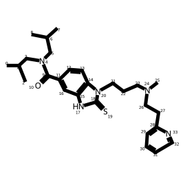 CC(C)CN(CC(C)C)C(=O)c1ccc2c(c1)[nH]c(=S)n2CCCN(C)CCc1ccccn1